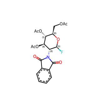 CC(=O)OC[C@H]1O[C@@H](F)[C@H](N2C(=O)c3ccccc3C2=O)[C@@H](OC(C)=O)[C@@H]1OC(C)=O